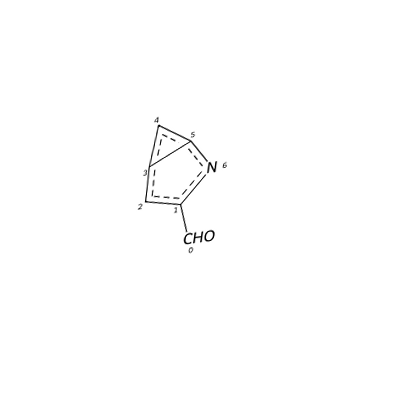 O=Cc1cc2cc-2n1